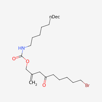 C=C(COC(=O)NCCCCCCCCCCCCCCC)CC(=O)CCCCCBr